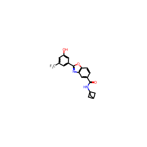 O=C(NC12CC(C1)C2)c1ccc2oc(-c3cc(O)cc(C(F)(F)F)c3)nc2c1